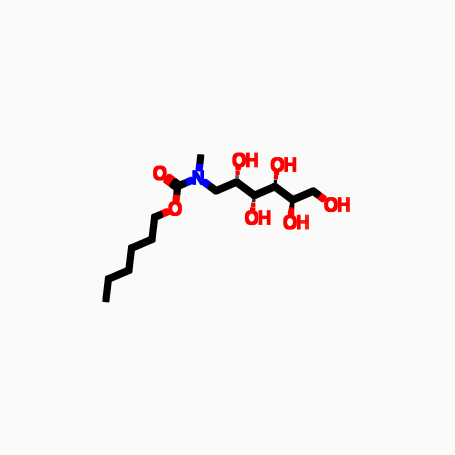 CCCCCCOC(=O)N(C)C[C@H](O)[C@@H](O)[C@H](O)[C@H](O)CO